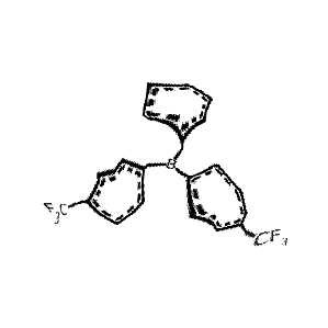 FC(F)(F)c1ccc(B(c2ccccc2)c2ccc(C(F)(F)F)cc2)cc1